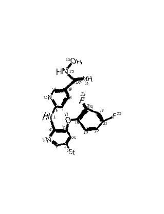 CCc1cnc(Nc2ccc(C(=N)NO)cn2)c(Oc2ccc(F)cc2F)c1